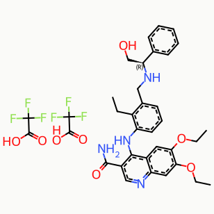 CCOc1cc2ncc(C(N)=O)c(Nc3cccc(CN[C@@H](CO)c4ccccc4)c3CC)c2cc1OCC.O=C(O)C(F)(F)F.O=C(O)C(F)(F)F